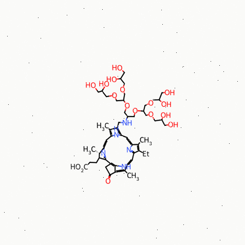 CCC1=C(C)c2cc3[nH]c(cc4nc(c5c6[nH]c(cc1n2)c(C)c6C(=O)C5)C(CCC(=O)O)[C@@H]4C)c(C)c3CNC(COC(COCC(O)CO)COCC(O)CO)COC(COCC(O)CO)COCC(O)CO